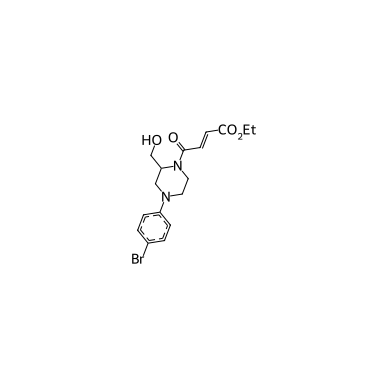 CCOC(=O)/C=C/C(=O)N1CCN(c2ccc(Br)cc2)CC1CO